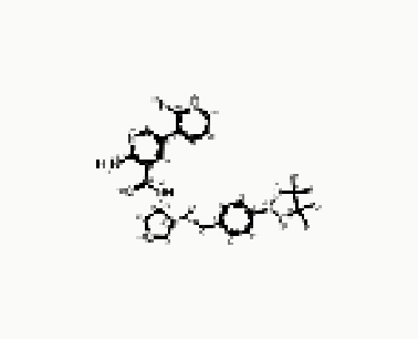 CC1(C)OB(c2ccc(CO[C@H]3COC[C@@H]3NC(=O)c3cc(-c4cccnc4F)cnc3N)cc2)OC1(C)C